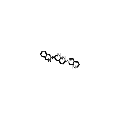 c1ccc2c[n+](-c3cnc4nc(-[n+]5ccc6cccnc6c5)ccc4c3)ncc2c1